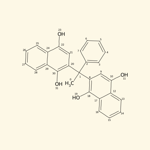 CC(c1ccccc1)(c1cc(O)c2ccccc2c1O)c1cc(O)c2ccccc2c1O